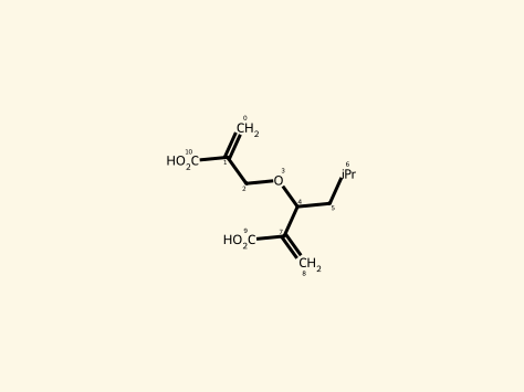 C=C(COC(CC(C)C)C(=C)C(=O)O)C(=O)O